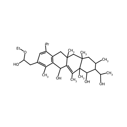 CCOC(O)Cc1cc(C(C)C)c2c(c1C)C(O)C1=C(C)C3(C)C(O)C(C(C)O)C(C)CC3(C)CC1(C)C2